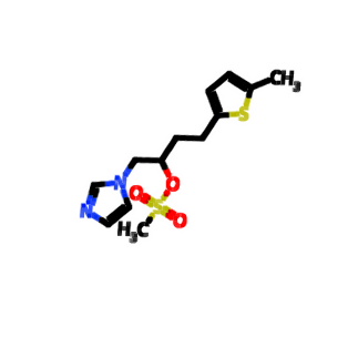 Cc1ccc(CCC(Cn2ccnc2)OS(C)(=O)=O)s1